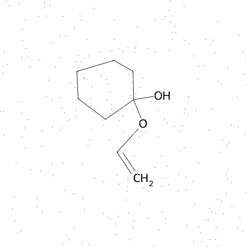 C=COC1(O)CCCCC1